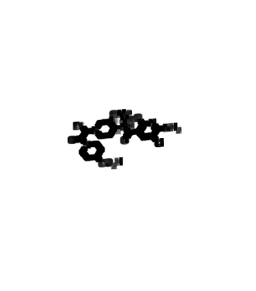 CCC(C(=O)N1CCC(C(=O)O)CC1)N1CC[C@@H](NC(=O)c2cc(Cl)c(N)nc2OC)[C@@H](OC)C1